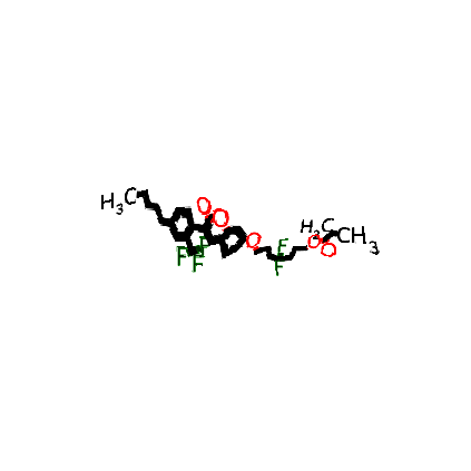 C=C(C)C(=O)OCCCC(F)(F)CCCOc1ccc2cc(-c3ccc(CCCCC)cc3C(F)(F)F)c(=O)oc2c1